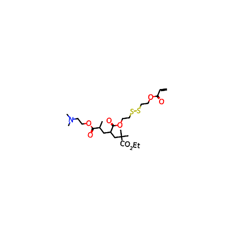 C=CC(=O)OCCSSCCOC(=O)C(CC(C)C(=O)OCCN(C)C)CC(C)(C)C(=O)OCC